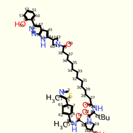 Cc1ncsc1-c1ccc([C@H](C)NC(=O)[C@@H]2C[C@@H](O)CN2C(=O)[C@@H](NC(=O)CCCCCCCCCCCCC(=O)N2CC(c3cc4cc(-c5ccccc5O)nnc4[nH]3)C2)C(C)(C)C)cc1